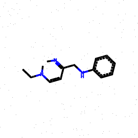 CCN(C)/C=C\C(CNc1ccccc1)=N/C